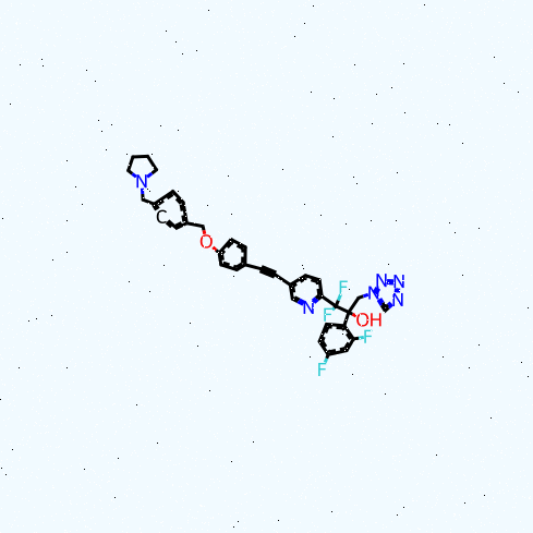 OC(Cn1cnnn1)(c1ccc(F)cc1F)C(F)(F)c1ccc(C#Cc2ccc(OCc3ccc(CN4CCCC4)cc3)cc2)cn1